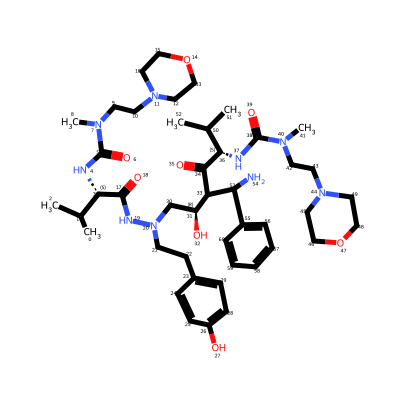 CC(C)[C@H](NC(=O)N(C)CCN1CCOCC1)C(=O)NN(CCc1ccc(O)cc1)C[C@H](O)C(C(=O)[C@@H](NC(=O)N(C)CCN1CCOCC1)C(C)C)C(N)c1ccccc1